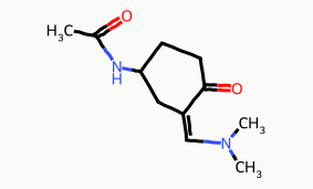 CC(=O)NC1CCC(=O)/C(=C\N(C)C)C1